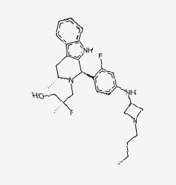 C[C@@H]1Cc2c([nH]c3ccccc23)[C@@H](c2ccc(NC3CN(CCCF)C3)cc2F)N1C[C@@](C)(F)CO